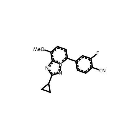 COc1ccc(-c2ccc(C#N)c(F)c2)n2nc(C3CC3)nc12